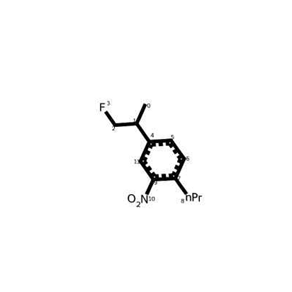 [CH2]C(CF)c1ccc(CCC)c([N+](=O)[O-])c1